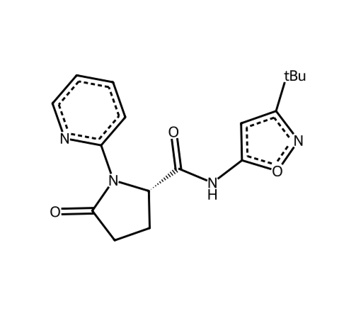 CC(C)(C)c1cc(NC(=O)[C@@H]2CCC(=O)N2c2ccccn2)on1